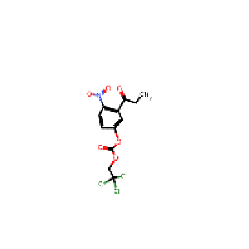 CCC(=O)c1cc(OC(=O)OCC(Cl)(Cl)Cl)ccc1[N+](=O)[O-]